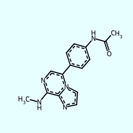 CNc1ncc(-c2ccc(NC(C)=O)cc2)n2ccnc12